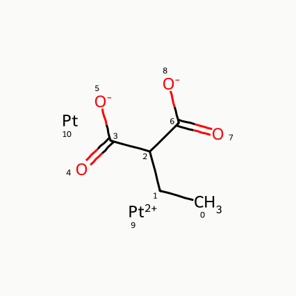 CCC(C(=O)[O-])C(=O)[O-].[Pt+2].[Pt]